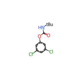 CC(C)(C)NC(=O)Oc1cc(Cl)cc(Cl)c1